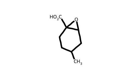 CC1CCC2(C(=O)O)OC2C1